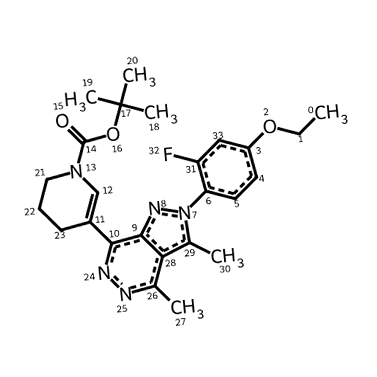 CCOc1ccc(-n2nc3c(C4=CN(C(=O)OC(C)(C)C)CCC4)nnc(C)c3c2C)c(F)c1